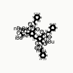 CCCCOC(=O)C(NC(=O)c1cc(Cc2cc(C(=O)N(CCc3ccccc3)C(=O)OCCCC)cc(C(=O)N(CCc3ccccc3)C(=O)OCCCC)c2)cc(C(=O)N(CCc2ccccc2)C(=O)OCCCC)c1)C(C)CC